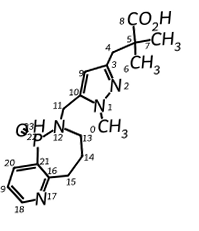 Cn1nc(CC(C)(C)C(=O)O)cc1CN1CCCc2ncccc2[PH]1=O